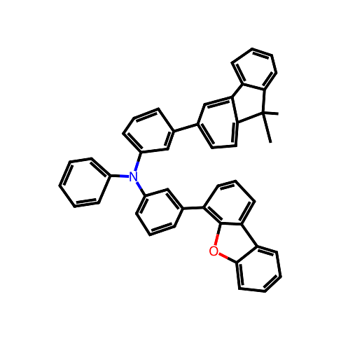 CC1(C)c2ccccc2-c2cc(-c3cccc(N(c4ccccc4)c4cccc(-c5cccc6c5oc5ccccc56)c4)c3)ccc21